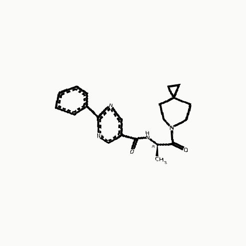 C[C@@H](NC(=O)c1cnc(-c2ccccc2)nc1)C(=O)N1CCC2(CC1)CC2